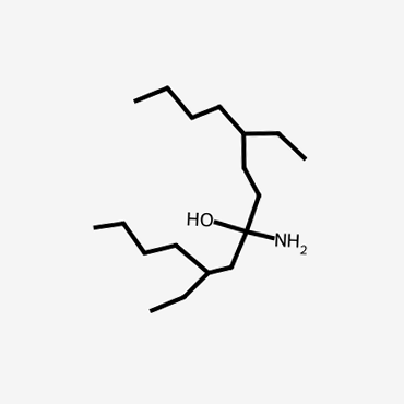 CCCCC(CC)CCC(N)(O)CC(CC)CCCC